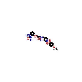 COc1ccc(S(=O)(=O)N2CCC(CNC[C@H](O)COc3cccc4[nH]c(=O)[nH]c34)CC2)cc1